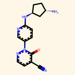 N#Cc1ccnn(-c2ccc(N[C@H]3CC[C@H](N)C3)nc2)c1=O